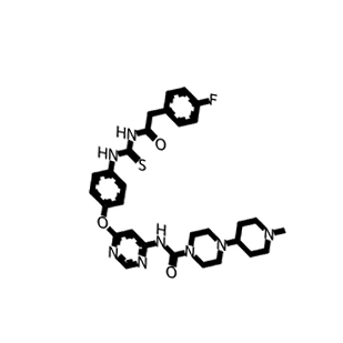 CN1CCC(N2CCN(C(=O)Nc3cc(Oc4ccc(NC(=S)NC(=O)Cc5ccc(F)cc5)cc4)ncn3)CC2)CC1